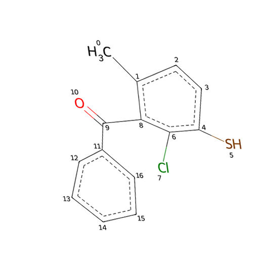 Cc1ccc(S)c(Cl)c1C(=O)c1ccccc1